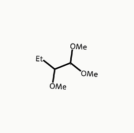 CCC(OC)[C](OC)OC